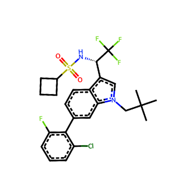 CC(C)(C)Cn1cc([C@H](NS(=O)(=O)C2CCC2)C(F)(F)F)c2ccc(-c3c(F)cccc3Cl)cc21